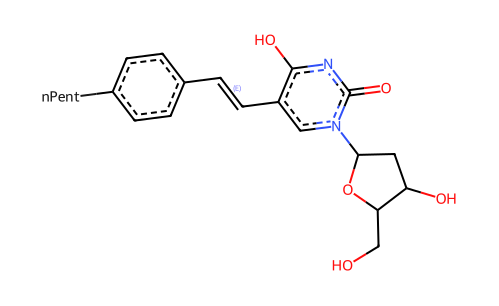 CCCCCc1ccc(/C=C/c2cn(C3CC(O)C(CO)O3)c(=O)nc2O)cc1